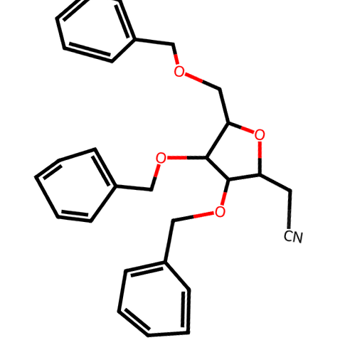 N#CCC1OC(COCc2ccccc2)C(OCc2ccccc2)C1OCc1ccccc1